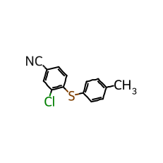 Cc1ccc(Sc2ccc(C#N)cc2Cl)cc1